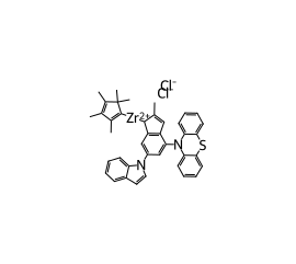 CC1=Cc2c(cc(-n3ccc4ccccc43)cc2N2c3ccccc3Sc3ccccc32)[CH]1[Zr+2][C]1=C(C)C(C)=C(C)C1(C)C.[Cl-].[Cl-]